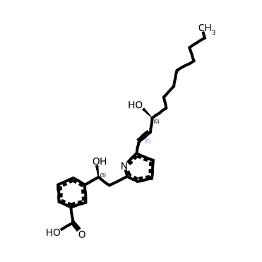 CCCCCCCC[C@H](O)/C=C/c1cccc(C[C@H](O)c2cccc(C(=O)O)c2)n1